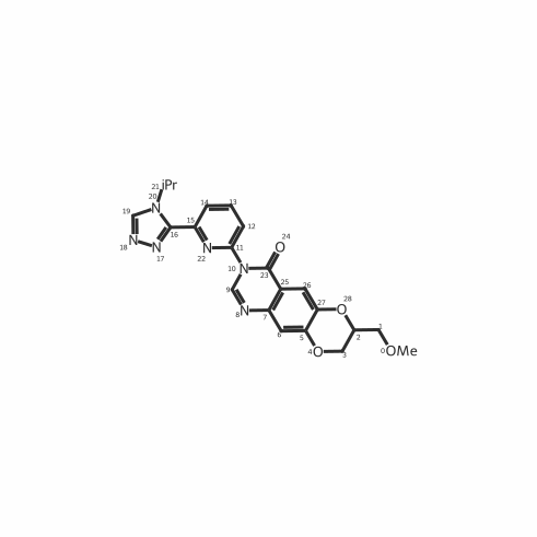 COCC1COc2cc3ncn(-c4cccc(-c5nncn5C(C)C)n4)c(=O)c3cc2O1